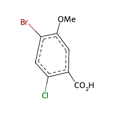 COc1cc(C(=O)O)c(Cl)cc1Br